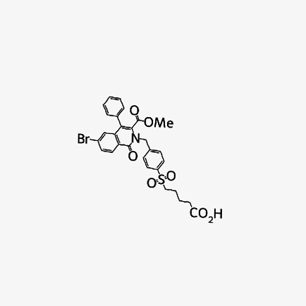 COC(=O)c1c(-c2ccccc2)c2cc(Br)ccc2c(=O)n1Cc1ccc(S(=O)(=O)CCCCC(=O)O)cc1